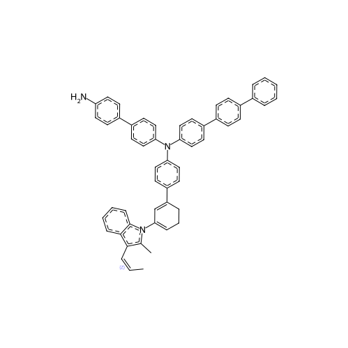 C/C=C\c1c(C)n(C2=CCCC(c3ccc(N(c4ccc(-c5ccc(N)cc5)cc4)c4ccc(-c5ccc(-c6ccccc6)cc5)cc4)cc3)=C2)c2ccccc12